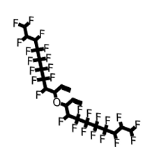 C=CC(OC(C=C)C(F)C(F)(F)C(F)(F)C(F)(F)C(F)(F)C(F)C(F)C(F)F)C(F)C(F)(F)C(F)(F)C(F)(F)C(F)(F)C(F)C(F)C(F)F